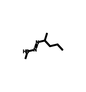 CBN=NC(C)CCC